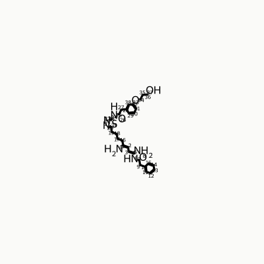 N/C(=C\C=C(/N)NC(=O)Cc1ccccc1)CCCCc1nnc(NC(=O)Cc2cccc(OCCCO)c2)s1